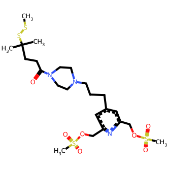 CSSC(C)(C)CCC(=O)N1CCN(CCCc2cc(COS(C)(=O)=O)nc(COS(C)(=O)=O)c2)CC1